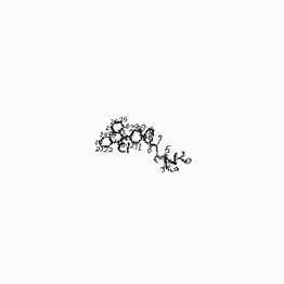 CCN(CC)CCCCOc1ccc(C(=C(Cl)c2ccccc2)c2ccccc2)cc1